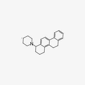 [CH]1CCN(C2CCCc3c2ccc2c3CCc3ccccc3-2)CC1